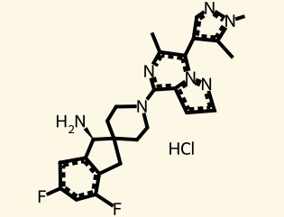 Cc1nc(N2CCC3(CC2)Cc2c(F)cc(F)cc2[C@H]3N)c2ccnn2c1-c1cnn(C)c1C.Cl